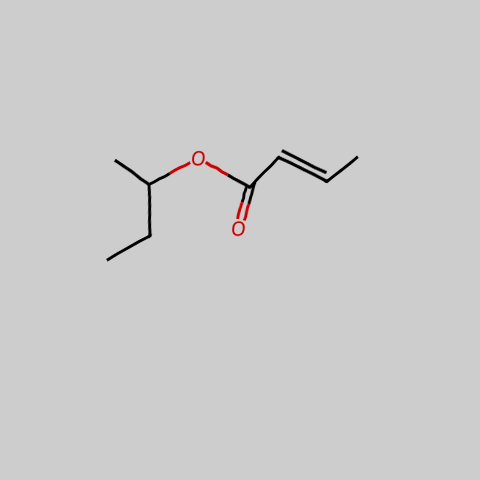 C/C=C/C(=O)OC(C)CC